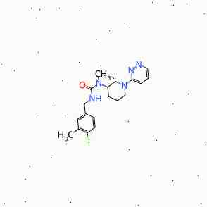 Cc1cc(CNC(=O)N(C)[C@@H]2CCCN(c3cccnn3)C2)ccc1F